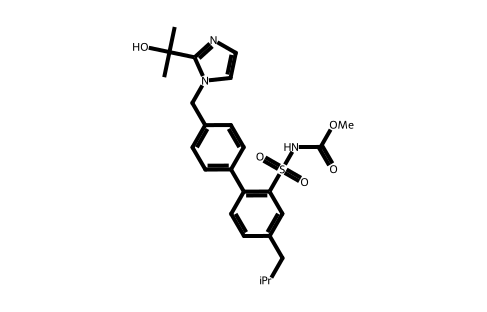 COC(=O)NS(=O)(=O)c1cc(CC(C)C)ccc1-c1ccc(Cn2ccnc2C(C)(C)O)cc1